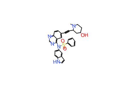 CN1CCC(O)CC1C#Cc1ccc2ncnc(N(c3ccc4[nH]ccc4c3)S(=O)(=O)c3ccccc3)c2c1